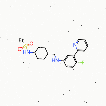 CCS(=O)(=O)N[C@H]1CC[C@H](CNc2ccc(F)c(-c3ccccn3)c2)CC1